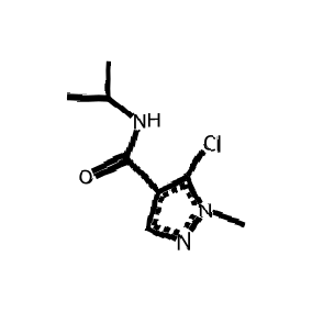 CC(C)NC(=O)c1cnn(C)c1Cl